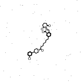 O=C(CCCCCCc1ccc2c(c1)C(=O)N(N1C(=O)CCCC1=O)C2)N1CCC(c2cccc(Cl)c2)CC1